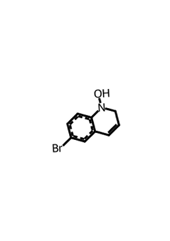 ON1CC=Cc2cc(Br)ccc21